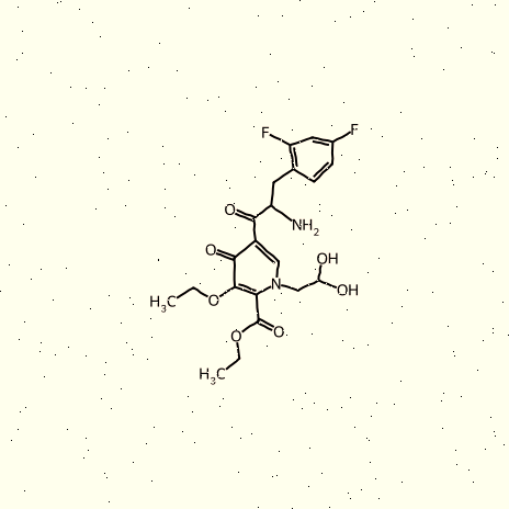 CCOC(=O)c1c(OCC)c(=O)c(C(=O)C(N)Cc2ccc(F)cc2F)cn1CC(O)O